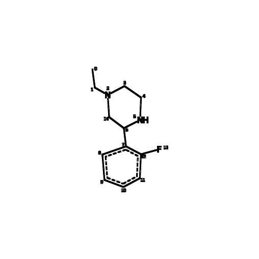 CCN1CCNC(c2ccccc2F)C1